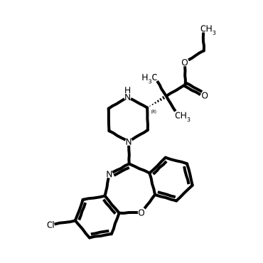 CCOC(=O)C(C)(C)[C@@H]1CN(C2=Nc3cc(Cl)ccc3Oc3ccccc32)CCN1